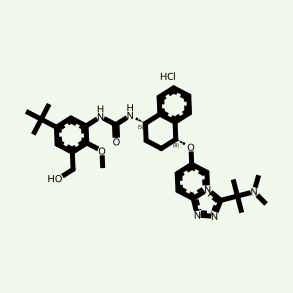 COc1c(CO)cc(C(C)(C)C)cc1NC(=O)N[C@H]1CC[C@@H](Oc2ccc3nnc(C(C)(C)N(C)C)n3c2)c2ccccc21.Cl